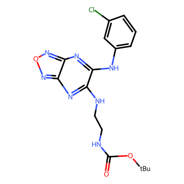 CC(C)(C)OC(=O)NCCNc1nc2nonc2nc1Nc1cccc(Cl)c1